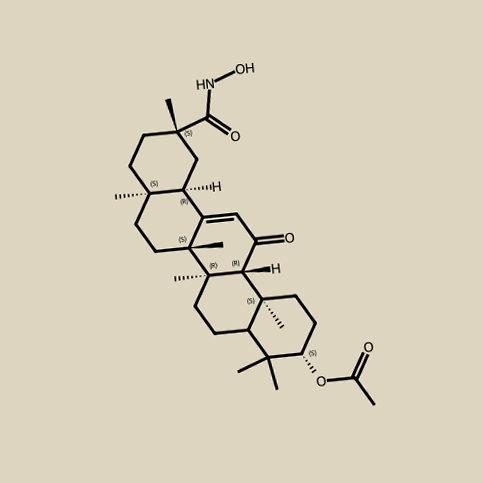 CC(=O)O[C@H]1CC[C@@]2(C)C(CC[C@]3(C)[C@@H]2C(=O)C=C2[C@@H]4C[C@@](C)(C(=O)NO)CC[C@]4(C)CC[C@]23C)C1(C)C